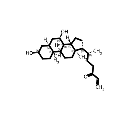 C=CC(=O)CC[C@@H](C)[C@H]1CC[C@H]2[C@@H]3[C@H](O)C[C@@H]4C[C@H](O)CC[C@]4(C)[C@H]3CC[C@]12C